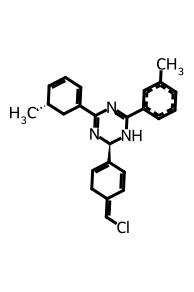 Cc1cccc(C2=NC(C3=CC=C[C@@H](C)C3)=N[C@H](C3=CC/C(=C/Cl)C=C3)N2)c1